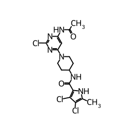 CC(=O)Nc1cc(N2CCC(NC(=O)c3[nH]c(C)c(Cl)c3Cl)CC2)nc(Cl)n1